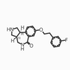 O=C1NC[C@@H]2CNC[C@H]2c2ccc(OCCc3cccc(F)c3)cc21